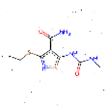 CCSc1nsc(NC(=O)NC)c1C(N)=O